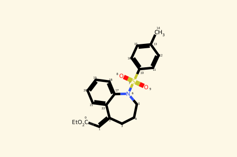 CCOC(=O)/C=C1/CCCN(S(=O)(=O)c2ccc(C)cc2)c2ccccc21